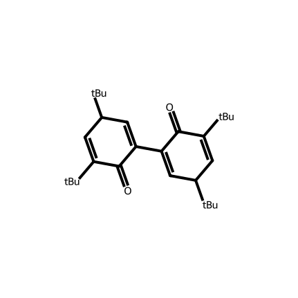 CC(C)(C)C1=CC(C(C)(C)C)C=C(C2=CC(C(C)(C)C)C=C(C(C)(C)C)C2=O)C1=O